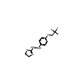 FC(F)(F)COc1ccc(NNC2=NCCS2)cc1